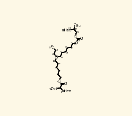 CCCCCCCCC(CCCCCC)C(=O)OCCCCCCN(CCO)CCCCCCOC(=O)OCC(CCCC)CCCCCC